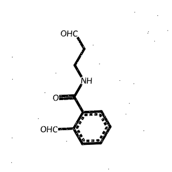 O=CCCNC(=O)c1ccccc1C=O